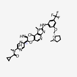 CN(C(=O)C1CC1)C1=CN/C(=C(\C=N)Oc2cnc3nc(Nc4cc(OC[C@@H]5CCCN5C)cc(C(F)(F)F)c4)n(C)c3c2Cl)C=N1